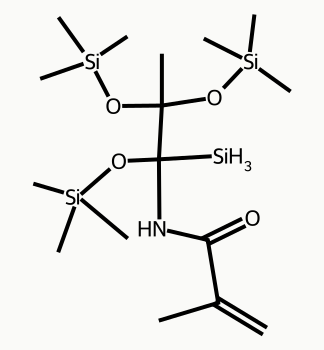 C=C(C)C(=O)NC([SiH3])(O[Si](C)(C)C)C(C)(O[Si](C)(C)C)O[Si](C)(C)C